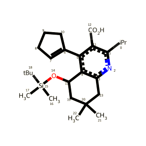 CC(C)c1nc2c(c(C3=CCCC3)c1C(=O)O)C(O[Si](C)(C)C(C)(C)C)CC(C)(C)C2